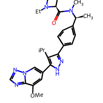 CCN1CC[C@H]1C(=O)N(C)[C@@H](C)c1ccc(-c2n[nH]c(-c3cc(OC)c4ncnn4c3)c2C(C)C)cc1